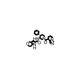 O=C(N[C@@H]1CN(C(=O)c2cccn3cncc23)CC[C@H]1c1ccccc1)c1cc2c([nH]1)CCOC2